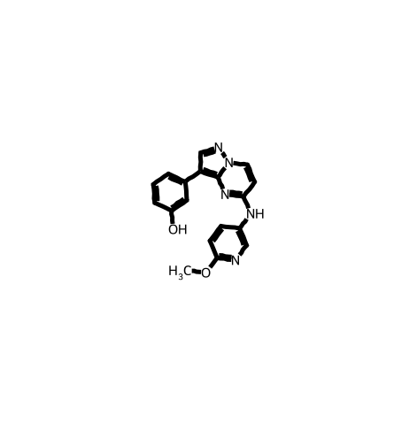 COc1ccc(Nc2ccn3ncc(-c4cccc(O)c4)c3n2)cn1